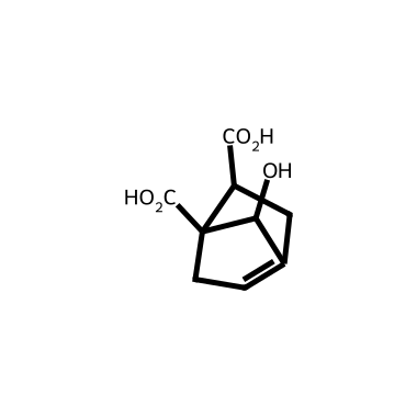 O=C(O)C1CC2=CCC1(C(=O)O)C2O